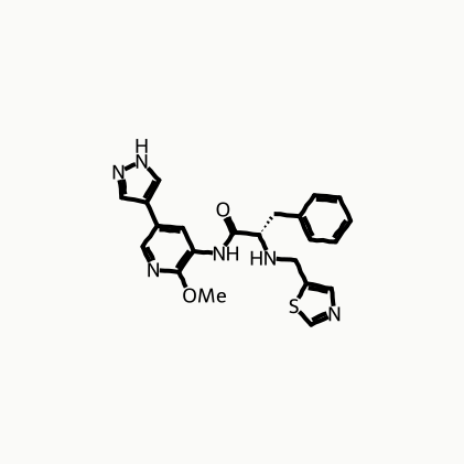 COc1ncc(-c2cn[nH]c2)cc1NC(=O)[C@H](Cc1ccccc1)NCc1cncs1